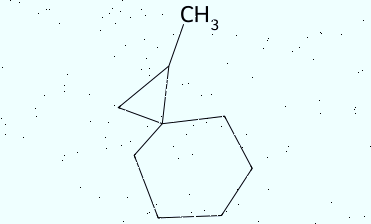 CC1CC12CCCCC2